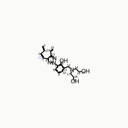 C=C/C=C\c1nn(-c2cccc(CN(CCO)CCO)c2O)nc1C=C